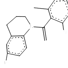 C=C(c1c(F)cccc1Cl)N1CCCc2cc(Br)ccc21